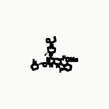 C=CC(=O)N1CCN(c2nc(OC[C@@H]3CCCN3C)nc3nc(-c4c(F)cccc4OC)c(F)cc23)[C@H](C)C1